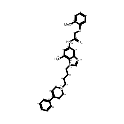 COc1ccccc1OCC(=O)Nc1cc(C)c2c(c1)ncn2CCCCN1CC=C(c2ccccc2)CC1